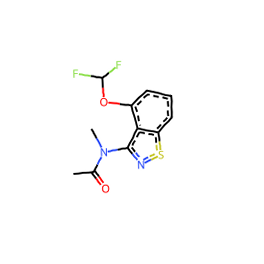 CC(=O)N(C)c1nsc2cccc(OC(F)F)c12